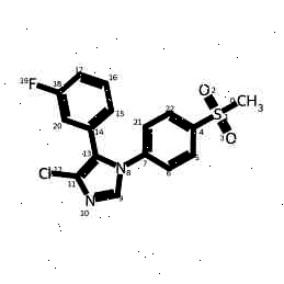 CS(=O)(=O)c1ccc(-n2cnc(Cl)c2-c2cccc(F)c2)cc1